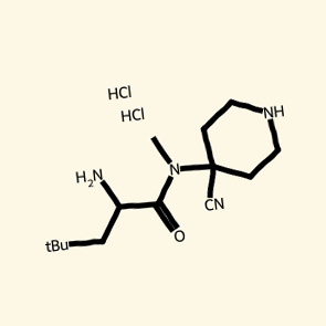 CN(C(=O)C(N)CC(C)(C)C)C1(C#N)CCNCC1.Cl.Cl